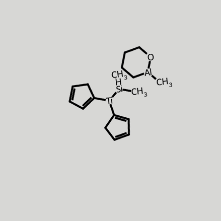 C[SiH](C)[Ti]([C]1=CC=CC1)[C]1=CC=CC1.[CH3][Al]1[CH2]CCC[O]1